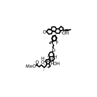 CC#C[C@]1(O)CCC2C3CCC4=CC(=O)CCC4=C3[C@@H](c3ccc(N(C)CCO[C@H]4CC[C@@]5(C)[C@@H](C4)C[C@@H](O)[C@@H]4[C@@H]5C[C@H](O)[C@]5(C)[C@@H]([C@H](C)CCC(=O)OC)CC[C@@H]45)c(F)c3)C[C@@]21C